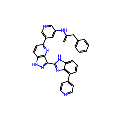 C=C(Cc1ccccc1)Nc1cncc(-c2ccc3[nH]nc(-c4nc5c(-c6ccncc6)cccc5[nH]4)c3n2)c1